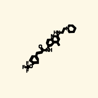 Cc1cc(NCCN2CCCCC2)nc2ccc(NC(=O)/C=C/c3ccc(OC(F)(F)F)cc3)cc12